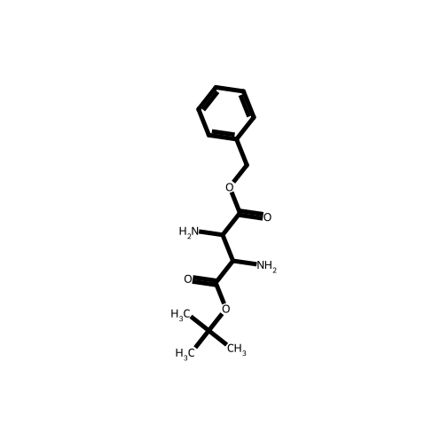 CC(C)(C)OC(=O)C(N)C(N)C(=O)OCc1ccccc1